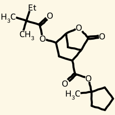 CCC(C)(C)C(=O)OC1CC(C(=O)OC2(C)CCCC2)C2CC1OC2=O